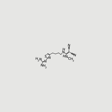 CNC(NCCCCc1csc(N=C(N)N)n1)=C(C#N)C#N